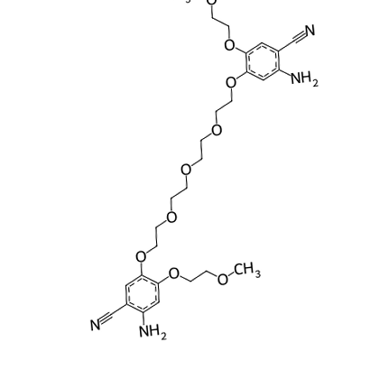 COCCOc1cc(C#N)c(N)cc1OCCOCCOCCOCCOc1cc(C#N)c(N)cc1OCCOC